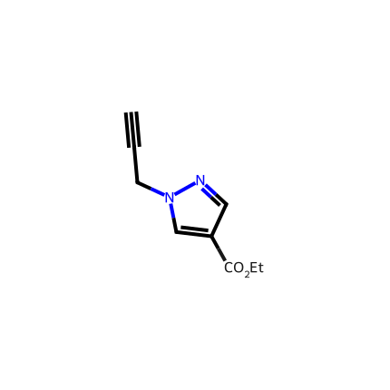 C#CCn1cc(C(=O)OCC)cn1